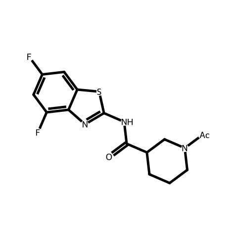 CC(=O)N1CCCC(C(=O)Nc2nc3c(F)cc(F)cc3s2)C1